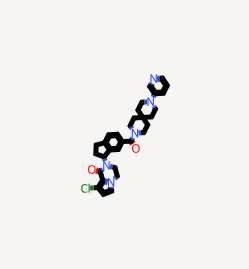 O=C(c1ccc2c(c1)C(N1CCn3ccc(Cl)c3C1=O)CC2)N1CCC2(CC1)CCN(c1cccnc1)CC2